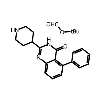 CC(C)(C)OC=O.O=c1[nH]c(C2CCNCC2)nc2cccc(-c3ccccc3)c12